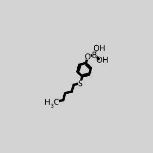 CCCCCSc1ccc(OB(O)O)cc1